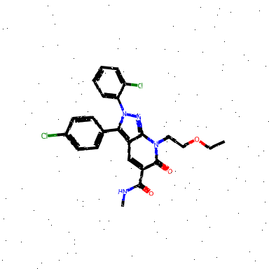 CCOCCn1c(=O)c(C(=O)NC)cc2c(-c3ccc(Cl)cc3)n(-c3ccccc3Cl)nc21